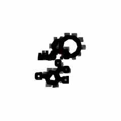 COc1ccc2c3c1OC(CCCCC2)C[C@@H](OC(=O)c1cc(Cl)ccc1Cl)[C@@H]3C